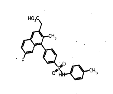 Cc1ccc(NS(=O)(=O)c2ccc(-c3c(C)c(CC(=O)O)cc4ccc(F)cc34)cc2)cc1